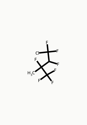 CC(F)(C(F)C(F)(F)Cl)C(F)(F)F